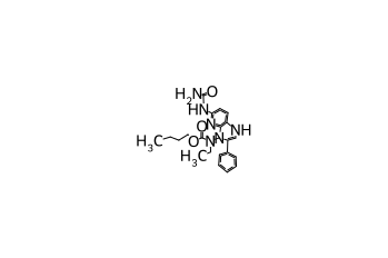 CCCCOC(=O)N(CC)N1C(c2ccccc2)=CNc2ccc(NC(N)=O)nc21